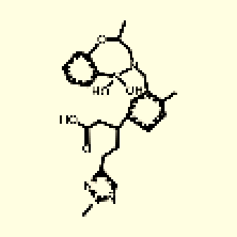 Cc1ccc(C(CCc2cnn(C)n2)CC(=O)O)cc1CN1CC(C)Oc2ccccc2S1(O)O